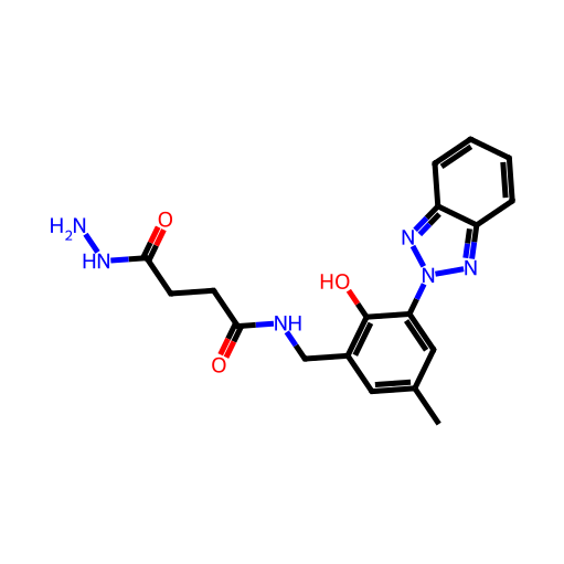 Cc1cc(CNC(=O)CCC(=O)NN)c(O)c(-n2nc3ccccc3n2)c1